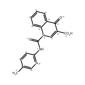 Cc1ccc(NC(=O)n2cc(C(=O)O)c(=O)c3ccccc32)nc1